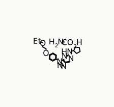 CCOCCOc1ccc(-n2nnc3cnc(NC4CCCC4)nc32)cc1.NC(=O)O